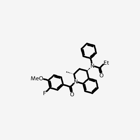 CCC(=O)N(c1ccccc1)[C@H]1C[C@@H](C)N(C(=O)c2ccc(OC)c(F)c2)c2ccccc21